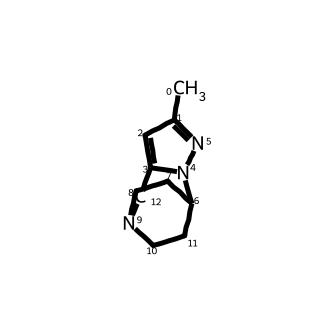 Cc1cc2n(n1)C1CCN(CC1)C2